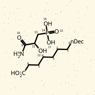 CCCCCCCCCCCCCCCCC(=O)O.NC(=O)C(O)CP(=O)(O)O